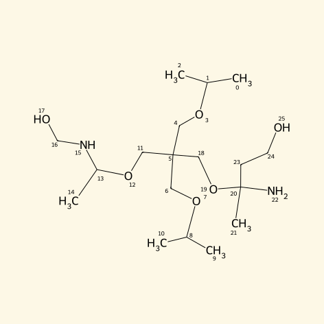 CC(C)OCC(COC(C)C)(COC(C)NCO)COC(C)(N)CCO